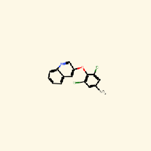 O=[N+]([O-])c1cc(Cl)c(Oc2cnc3ccccc3c2)c(Cl)c1